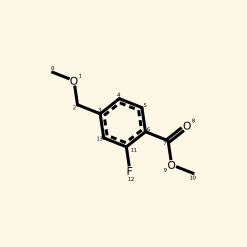 COCc1ccc(C(=O)OC)c(F)c1